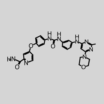 CNC(=O)c1cc(Oc2ccc(NC(=O)Nc3cccc(Nc4cc(N5CCOCC5)nc(C)n4)c3)cc2)ccn1